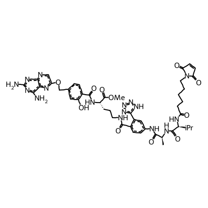 COC(=O)[C@H](CCCNC(=O)c1ccc(NC(=O)[C@H](C)NC(=O)[C@@H](NC(=O)CCCCCN2C(=O)C=CC2=O)C(C)C)cc1-c1nnn[nH]1)NC(=O)c1ccc(COc2cnc3nc(N)nc(N)c3n2)cc1O